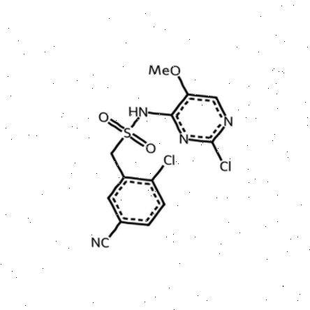 COc1cnc(Cl)nc1NS(=O)(=O)Cc1cc(C#N)ccc1Cl